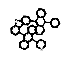 C1=CC2=C(c3ccc4sc5cccc(-c6c7ccccc7c(-c7cccnc7)c7ccccc67)c5c4c3)c3ccccc3C(c3ccccc3)C2C=C1